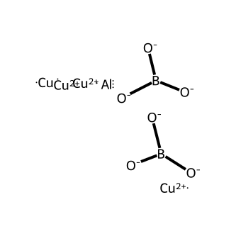 [Al].[Cu+2].[Cu+2].[Cu+2].[Cu].[O-]B([O-])[O-].[O-]B([O-])[O-]